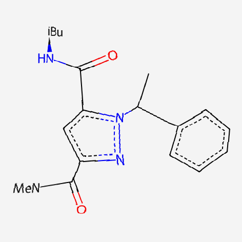 CC[C@H](C)NC(=O)c1cc(C(=O)NC)nn1C(C)c1ccccc1